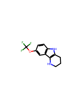 FC(F)(F)Oc1ccc2[nH]c3c(c2c1)NCCC3